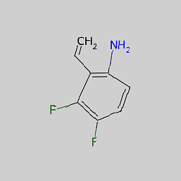 C=Cc1c(N)ccc(F)c1F